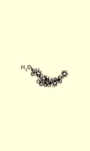 CCCNC(=O)c1ccc[n+](CC2=C(C(=O)O)N3C(=O)C(NC(=O)c4cccc(NC(=O)OCc5ccccc5)c4)[C@@H]3SC2)c1